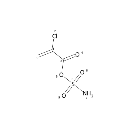 C=C(Cl)C(=O)OS(N)(=O)=O